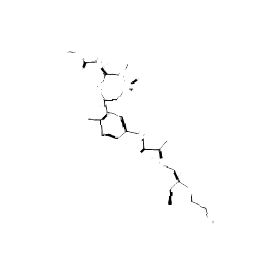 C=C/C(=C\N=C(/C)C(=O)Nc1ccc(F)c([C@]2(C)CS(=O)(=O)N(C)/C(=N/C(=O)OC(C)(C)C)N2)c1)OCCO